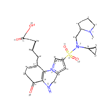 CN1CCCC1CN(C1CC1)S(=O)(=O)c1cc2n(c1)C1=C(NC2)C(=O)CC=C1CCCC(=O)O